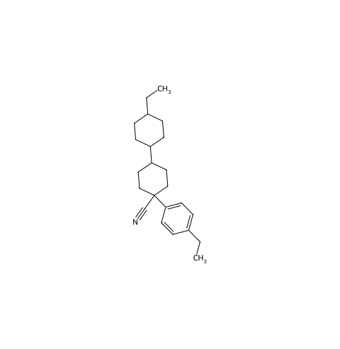 CCc1ccc(C2(C#N)CCC(C3CCC(CC)CC3)CC2)cc1